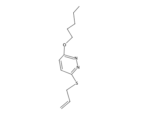 C=CCSc1ccc(OCCCCC)nn1